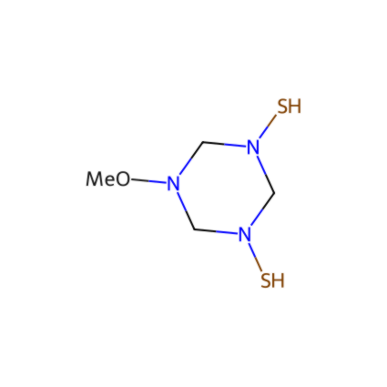 CON1CN(S)CN(S)C1